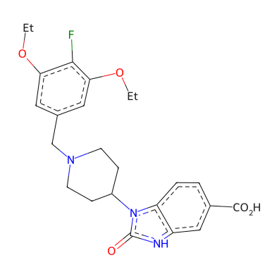 CCOc1cc(CN2CCC(n3c(=O)[nH]c4cc(C(=O)O)ccc43)CC2)cc(OCC)c1F